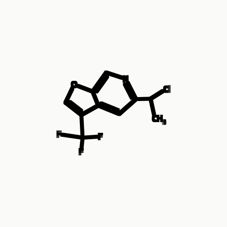 CC(Cl)c1cc2c(C(F)(F)F)coc2cn1